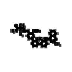 COc1nc(-c2cccc(-c3cccc(Nc4nc(C)nc5cccnc45)c3C)c2Cl)ccc1CNCC(C)(C)C(N)=O